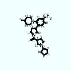 C=C(C1CCN(C2CCCC2)C1)N1CCC(c2ccc(C(F)(F)F)cc2N2CCC(C)CC2)C1